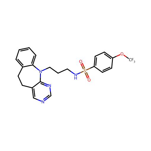 O=S(=O)(NCCCN1c2ccccc2CCc2cncnc21)c1ccc(OC(F)(F)F)cc1